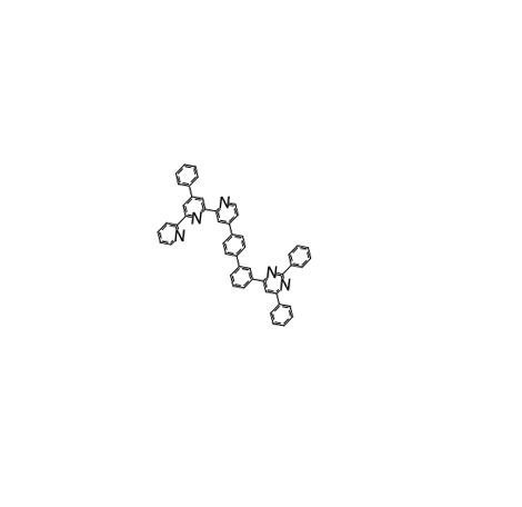 c1ccc(-c2cc(-c3ccccn3)nc(-c3cc(-c4ccc(-c5cccc(-c6cc(-c7ccccc7)nc(-c7ccccc7)n6)c5)cc4)ccn3)c2)cc1